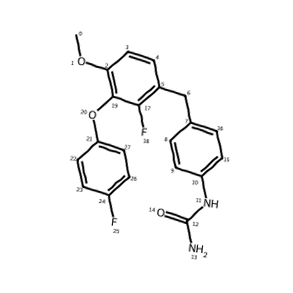 COc1ccc(Cc2ccc(NC(N)=O)cc2)c(F)c1Oc1ccc(F)cc1